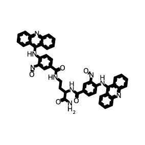 NC(=O)C(CCNC(=O)c1ccc(Nc2c3ccccc3nc3ccccc23)c(N=O)c1)NC(=O)c1ccc(Nc2c3ccccc3nc3ccccc23)c(N=O)c1